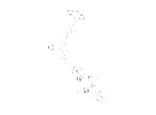 O=C(CCC(=O)N1Cc2ccccc2/C=C\c2ccccc21)NCC(=O)NCC(=O)N[C@@H](Cc1ccccc1)C(=O)NCC(=O)NCOCCn1cnc2c(ncn2[C@@H]2O[C@@H]3COP(=O)(S)[C@@H]4C[C@@H](O)[C@H](n5cc6c7c(ncnc75)NCCC6)O[C@@H]4COP(=O)(S)O[C@@H]2[C@@H]3O)c1=O